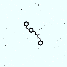 O=C(C=Cc1ccc(Cc2ccccc2)cc1)OCc1ccccc1